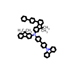 CC1(C)c2ccccc2-c2ccc(N(c3ccc(-c4ccc(-n5c6ccccc6c6ccccc65)cc4)cc3)c3ccc4c(c3)C(C)(C)c3cccc(-c5ccc(-c6ccccc6)cc5)c3-4)cc21